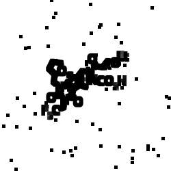 CCOC=CC(=O)N(Cc1sc2c(c1C)c(=O)n(CC(F)(F)F)c(=O)n2CC1CCCO1)NC(=O)O